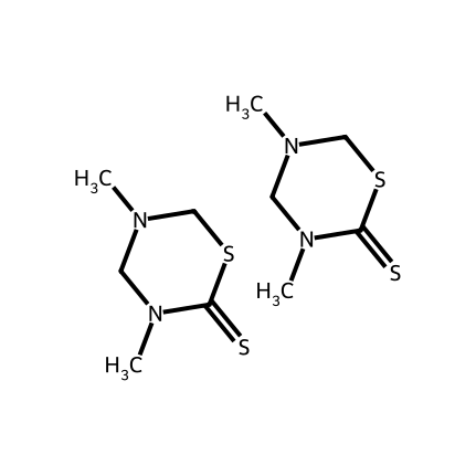 CN1CSC(=S)N(C)C1.CN1CSC(=S)N(C)C1